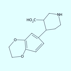 O=C(O)C1CNCCC1c1ccc2c(c1)OCCO2